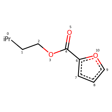 CC(C)CCOC(=O)c1ccco1